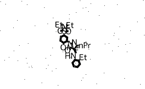 CCCC1=NN(c2cc(S(=O)(=O)N(CC)CC)ccc2OC)C(=O)C1=CNc1ccccc1CC